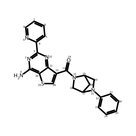 Nc1nc(-c2ccccn2)nc2c(C(=O)N3CC4CC3CN4c3ccccc3)csc12